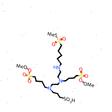 COOS(=O)(=O)CCCCN(CCCS(=O)(=O)O)CCN(CCCCS(=O)(=O)OOC)CCNCCCCCS(=O)(=O)SC